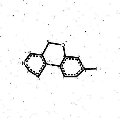 Ic1ccc2c(c1)OCc1cnccc1-2